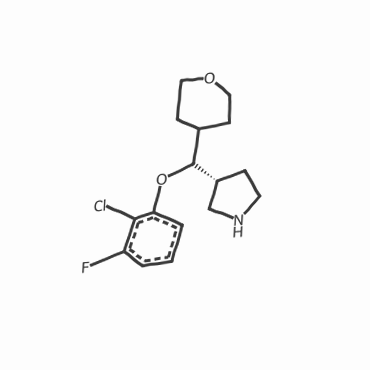 Fc1cccc(OC(C2CCOCC2)[C@@H]2CCNC2)c1Cl